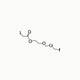 O=C(CI)OCCOCOCI